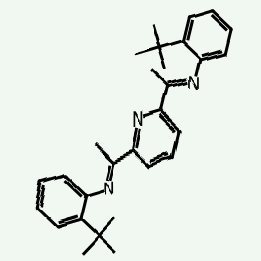 C/C(=N\c1ccccc1C(C)(C)C)c1cccc(/C(C)=N/c2ccccc2C(C)(C)C)n1